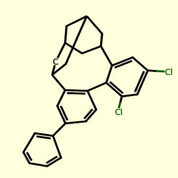 Clc1cc(Cl)c2c(c1)C1CC3CC(CC(C3)c3cc(-c4ccccc4)ccc3-2)C1